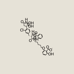 COC(=O)c1c(O)cccc1OCCCCCNC(=O)[C@H](Cc1ccc(C2CC(=O)NS2(O)O)c(Cl)c1)NS(=O)(=O)c1ccccc1